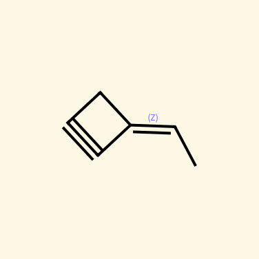 C/C=C1\C#CC1